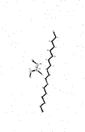 CCCCCCCCCCCCCCCCCC.CO[SiH](C)OC